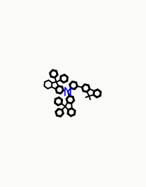 CC1(C)c2ccccc2-c2ccc(-c3cccc(N(c4ccc5c(c4)C(c4ccccc4)(c4ccccc4)c4ccccc4-5)c4ccc5c(c4)C(c4ccccc4)(c4ccccc4)C4CCCCC54)c3)cc21